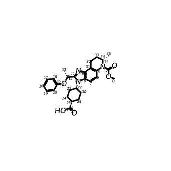 COC(=O)N1c2ccc3c(nc([C@@H](C)Oc4ccccc4)n3[C@H]3CC[C@H](C(=O)O)CC3)c2CC[C@@H]1C